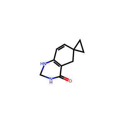 O=C1NCNC2=C1CC1(C=C2)CC1